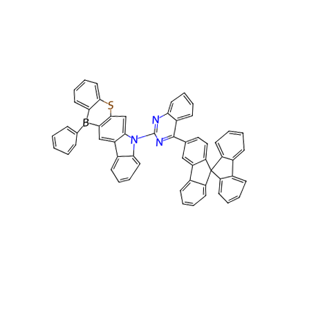 c1ccc(B2c3ccccc3Sc3cc4c(cc32)c2ccccc2n4-c2nc(-c3ccc4c(c3)-c3ccccc3C43c4ccccc4-c4ccccc43)c3ccccc3n2)cc1